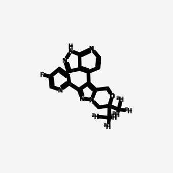 [2H]C([2H])([2H])C1(C([2H])([2H])[2H])Cn2nc(-c3ccc(F)cn3)c(-c3ccnc4[nH]ncc34)c2CO1